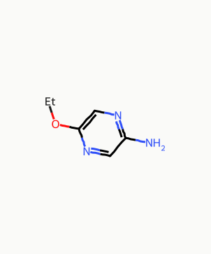 CCOc1cnc(N)cn1